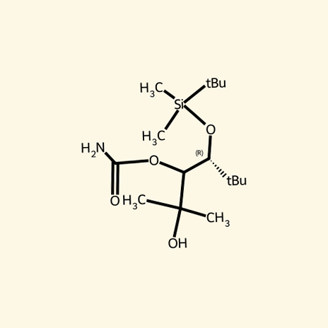 CC(C)(O)C(OC(N)=O)[C@H](O[Si](C)(C)C(C)(C)C)C(C)(C)C